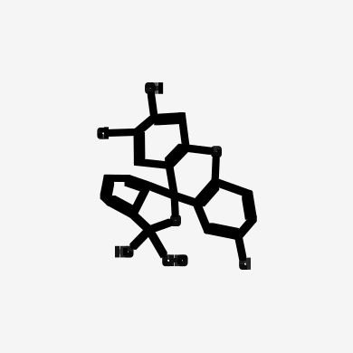 O=CC1(O)OC2(c3cc(Cl)ccc3Oc3cc(O)c(Cl)cc32)c2ccccc21